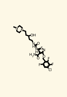 CN1CCN(CCC(O)CCNC(=O)Nc2snc(OCc3c(F)cc(Cl)c(F)c3F)c2C(N)=O)CC1